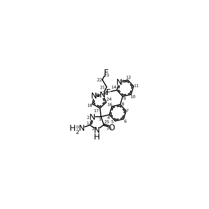 NC1=NC(c2cccc(-c3cccnc3F)c2)(c2cnn(CCF)c2)C(=O)N1